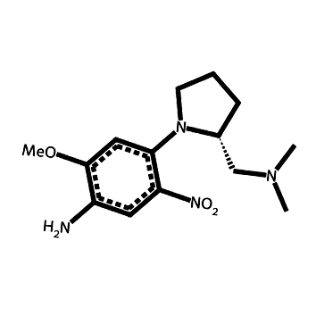 COc1cc(N2CCC[C@@H]2CN(C)C)c([N+](=O)[O-])cc1N